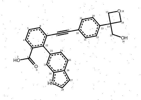 O=C(O)c1cccc(C#Cc2ccc(C3(CO)COC3)cc2)c1-c1ccc2cc[nH]c2c1